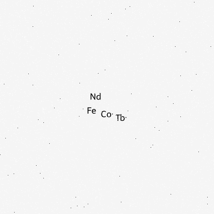 [Co].[Fe].[Nd].[Tb]